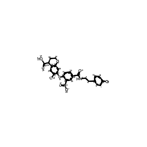 O=C(NCCc1ccc(Cl)cc1)c1ccc(Oc2cc3c(cc2Cl)C(C(=O)O)CCO3)c([N+](=O)[O-])c1